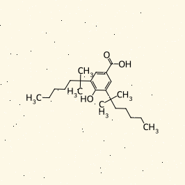 CCCCCC(C)(C)c1cc(C(=O)O)cc(C(C)(C)CCCCC)c1O